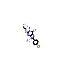 CCn1c(-c2ccc(Cl)cc2)nc2c(=O)[nH]c(SCCC(F)(F)F)nc21